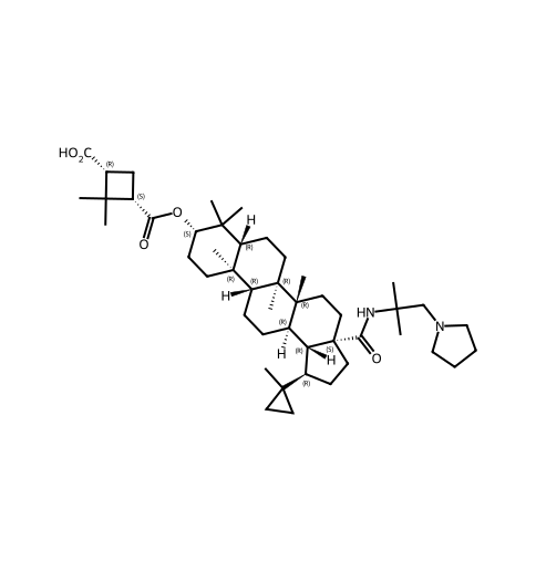 CC(C)(CN1CCCC1)NC(=O)[C@]12CC[C@@H](C3(C)CC3)[C@@H]1[C@H]1CC[C@@H]3[C@@]4(C)CC[C@H](OC(=O)[C@H]5C[C@@H](C(=O)O)C5(C)C)C(C)(C)[C@@H]4CC[C@@]3(C)[C@]1(C)CC2